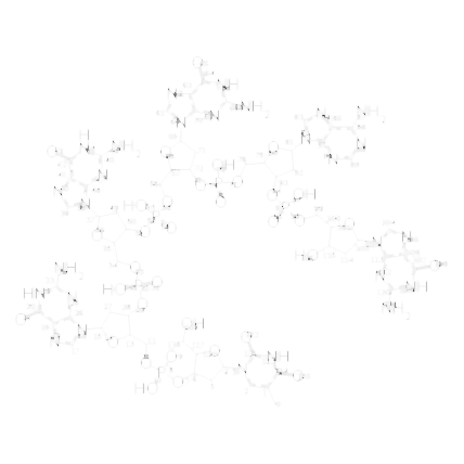 Cc1cn(C2CC(OP(=O)(O)OCC3OC(n4cnc5c(=O)[nH]c(N)nc54)CC3OP(=O)(O)OCC3OC(n4cnc5c(=O)[nH]c(N)nc54)CC3OP(=O)(O)OCC3OC(n4cnc5c(=O)[nH]c(N)nc54)CC3OP(=O)(O)OCC3OC(n4cnc5c(N)ncnc54)CC3OP(=O)(O)OCC3OC(n4cnc5c(=O)[nH]c(N)nc54)CC3O)C(CO)O2)c(=O)[nH]c1=O